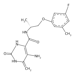 C=C1NC(=O)NC(C(=O)N[C@H](C)COc2cc(C)cc(F)c2)=C1N